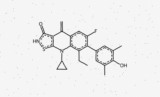 C=C1c2cc(F)c(-c3cc(C)c(O)c(C)c3)c(CC)c2N(C2CC2)c2s[nH]c(=O)c21